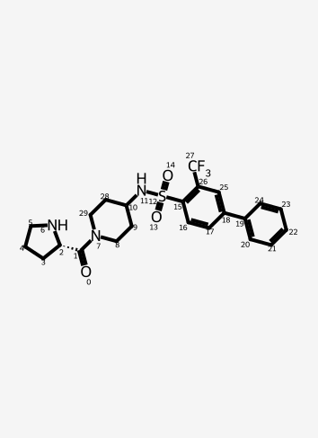 O=C([C@@H]1CCCN1)N1CCC(NS(=O)(=O)c2ccc(-c3ccccc3)cc2C(F)(F)F)CC1